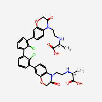 C[C@H](NCCN1C(=O)COc2cc(-c3cccc(-c4cccc(-c5ccc6c(c5)OCC(=O)N6CCN[C@@H](C)C(=O)O)c4Cl)c3Cl)ccc21)C(=O)O